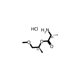 COC[C@H](C)OC(=O)[C@@H](C)N.Cl